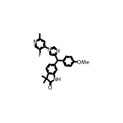 COc1ccc(C(c2ccc3c(c2)NC(=O)C3(C)C)c2cn(-c3cc(C)ncc3F)cn2)cc1